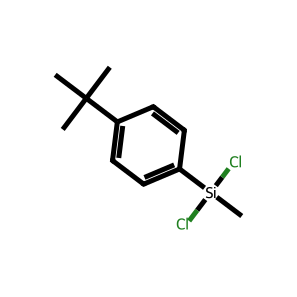 CC(C)(C)c1ccc([Si](C)(Cl)Cl)cc1